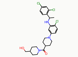 CC(Nc1cc(N2CCC(C(=O)N3CCC(CO)CC3)CC2)ccc1Cl)c1ccc(Cl)cc1Cl